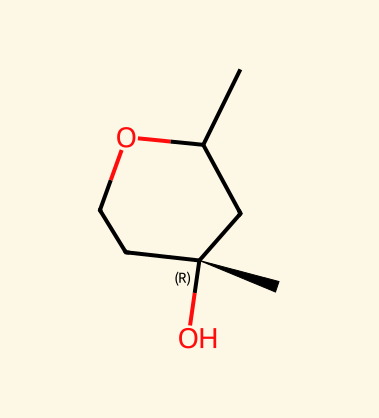 CC1C[C@](C)(O)CCO1